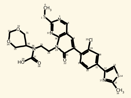 CSc1ncc2cc(-c3ccc(-c4csc(C)n4)cc3Cl)c(=O)n(CCN(C(=O)O)C3COCOC3)c2n1